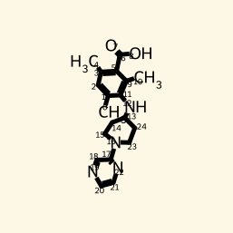 Cc1cc(C)c(C(=O)O)c(C)c1NC1CCN(c2cnccn2)CC1